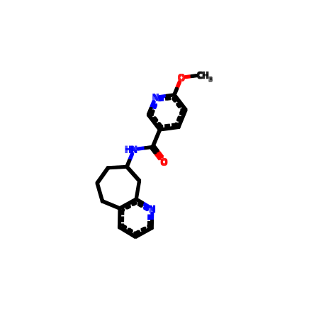 COc1ccc(C(=O)NC2CCCc3cccnc3C2)cn1